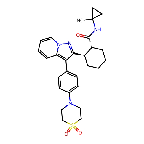 N#CC1(NC(=O)[C@@H]2CCCC[C@H]2c2nn3ccccc3c2-c2ccc(N3CCS(=O)(=O)CC3)cc2)CC1